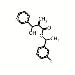 C=C(C(=O)OC(C)c1cccc(Cl)c1)C(O)c1cccnc1